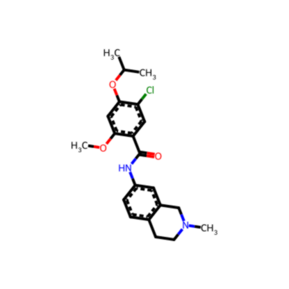 COc1cc(OC(C)C)c(Cl)cc1C(=O)Nc1ccc2c(c1)CN(C)CC2